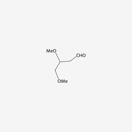 COCC(CC=O)OC